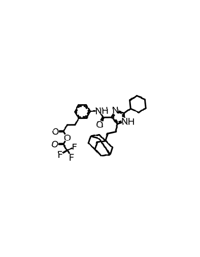 O=C(CCc1cccc(NC(=O)c2nc(C3CCCCC3)[nH]c2CCC23CC4CC(CC(C4)C2)C3)c1)OC(=O)C(F)(F)F